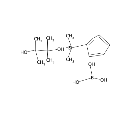 CC(C)(O)C(C)(C)O.C[SiH](C)c1ccccc1.OB(O)O